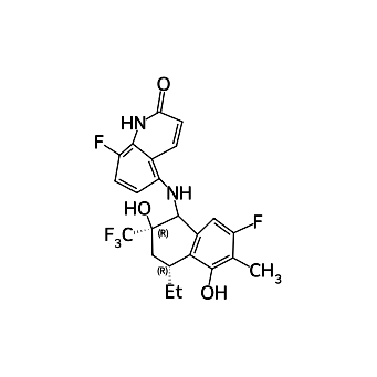 CC[C@@H]1C[C@](O)(C(F)(F)F)C(Nc2ccc(F)c3[nH]c(=O)ccc23)c2cc(F)c(C)c(O)c21